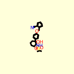 CC(C)S(=O)(=O)NC1CCCCC1(O)c1ccc(OCc2ccccc2C#N)cc1